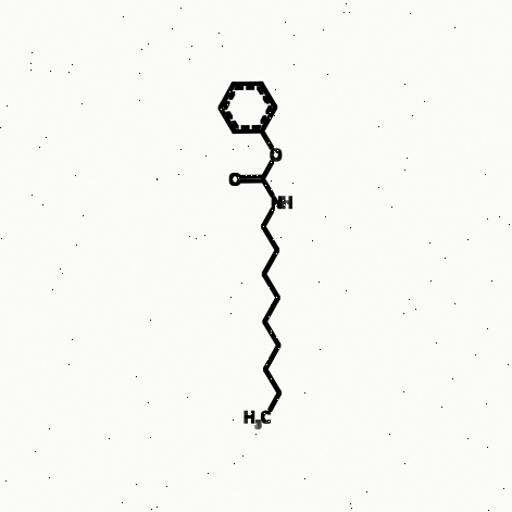 CCCCCCCCCNC(=O)Oc1ccccc1